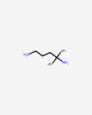 CCCC(N)(CCC)CCCN